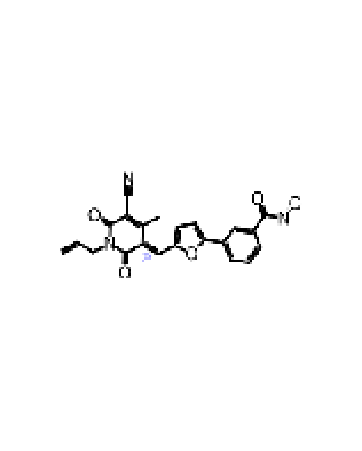 C=CCN1C(=O)C(C#N)=C(C)/C(=C\c2ccc(-c3cccc(C(=O)N=O)c3)o2)C1=O